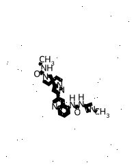 CCNC(=O)N1CCC2(CCn3nc(-c4cnc5cccc(NC(=O)NC6CN(C)C6)c5c4)cc32)C1